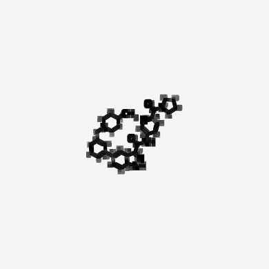 CC1CCN(Cc2cccc(-c3ccc4[nH]nc(C(=O)Nc5ccc(C(=O)N6CCCC6)nc5)c4c3)c2)CC1